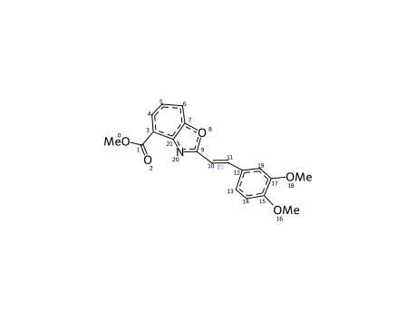 COC(=O)c1cccc2oc(/C=C/c3ccc(OC)c(OC)c3)nc12